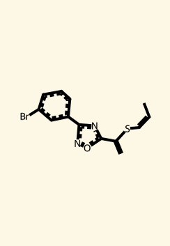 C=C(S/C=C\C)c1nc(-c2cccc(Br)c2)no1